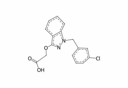 O=C(O)COc1nn(Cc2cccc(Cl)c2)c2ccccc12